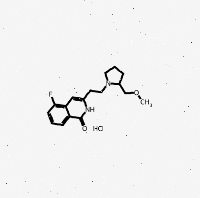 COCC1CCCN1CCc1cc2c(F)cccc2c(=O)[nH]1.Cl